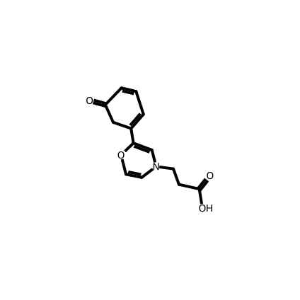 O=C(O)CCN1C=COC(C2=CC=CC(=O)C2)=C1